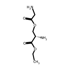 CCOC(=O)[C@@H](N)COC(=O)CN